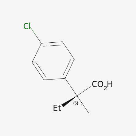 CC[C@](C)(C(=O)O)c1ccc(Cl)cc1